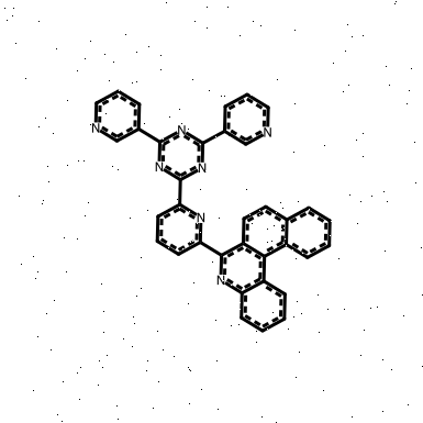 c1cncc(-c2nc(-c3cccnc3)nc(-c3cccc(-c4nc5ccccc5c5c4ccc4ccccc45)n3)n2)c1